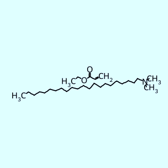 C=CC(=O)OCC.CCCCCCCCCCCCCCCCCCCCCCN(C)C